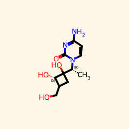 C[C@@H](n1ccc(N)nc1=O)C1(O)CC(CO)[C@@H]1O